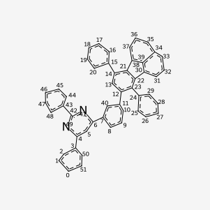 c1ccc(-c2cc(-c3cccc(-c4cc(-c5ccccc5)c5c(c4-c4ccccc4)-c4cccc6cccc-5c46)c3)nc(-c3ccccc3)n2)cc1